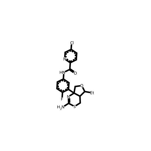 CCC1OCC2(c3cc(NC(=O)c4ccc(Cl)cn4)ccc3F)N=C(N)SCC12